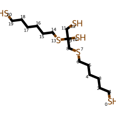 SCCCCCCSCC(S)(CS)SCCCCCCS